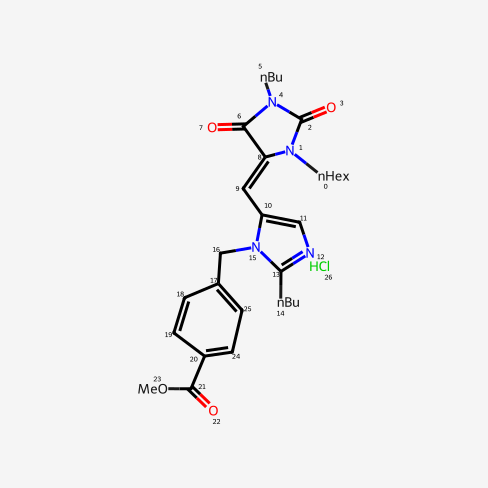 CCCCCCN1C(=O)N(CCCC)C(=O)/C1=C/c1cnc(CCCC)n1Cc1ccc(C(=O)OC)cc1.Cl